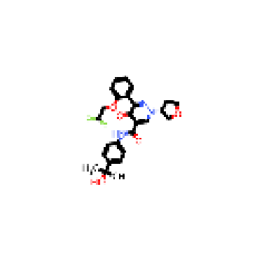 CC(C)(O)c1ccc(NC(=O)c2cn([C@@H]3CCOC3)nc(-c3ccccc3OCC(F)F)c2=O)cc1